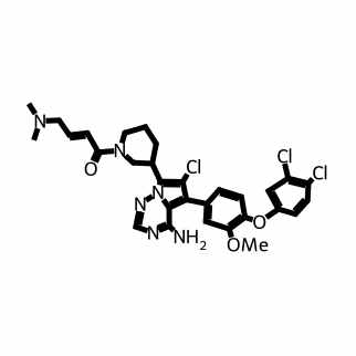 COc1cc(-c2c(Cl)c(C3CCCN(C(=O)C=CCN(C)C)C3)n3ncnc(N)c23)ccc1Oc1ccc(Cl)c(Cl)c1